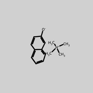 C[N+](C)(C)C.[O-]c1ccc2ccccc2c1